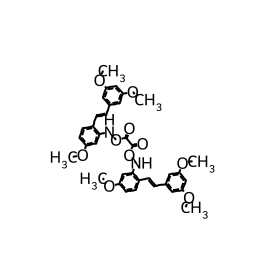 COc1cc(C=Cc2ccc(OC)cc2NOC(=O)C(=O)ONc2cc(OC)ccc2C=Cc2cc(OC)cc(OC)c2)cc(OC)c1